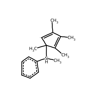 CC1=[C]C(C)([SiH](C)c2ccccc2)C(C)=C1C